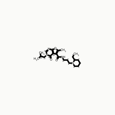 CCC1CCCCN1CCCNC(=O)c1c(C)oc2ncn(CC(C)C)c(=O)c12